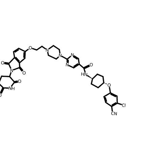 N#Cc1ccc(O[C@H]2CC[C@H](NC(=O)c3cnc(N4CCN(CCOc5ccc6c(c5)C(=O)N(C5CCC(=O)NC5=O)C6=O)CC4)nc3)CC2)cc1Cl